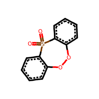 O=S1(=O)c2ccccc2OOc2ccccc21